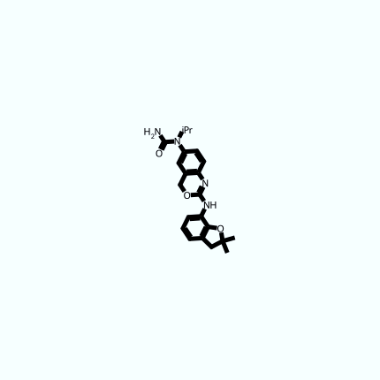 CC(C)N(C(N)=O)c1ccc2c(c1)COC(Nc1cccc3c1OC(C)(C)C3)=N2